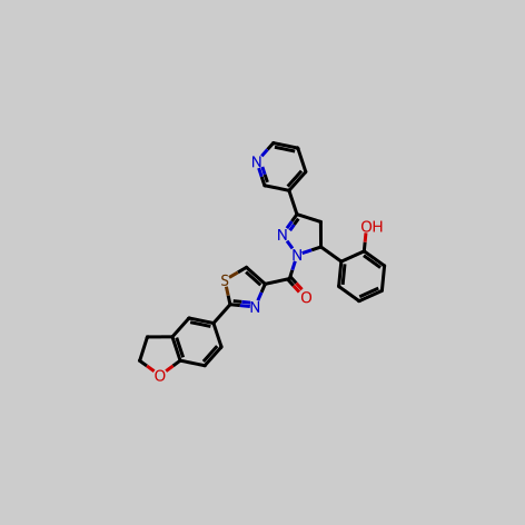 O=C(c1csc(-c2ccc3c(c2)CCO3)n1)N1N=C(c2cccnc2)CC1c1ccccc1O